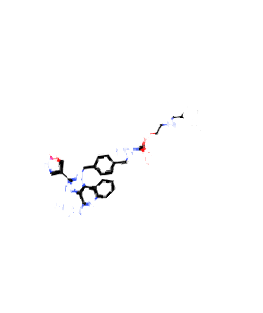 C=C(C)CNCCOC(=O)NCc1ccc(Cn2c(-c3cnoc3)nc3c(N)nc4ccccc4c32)cc1